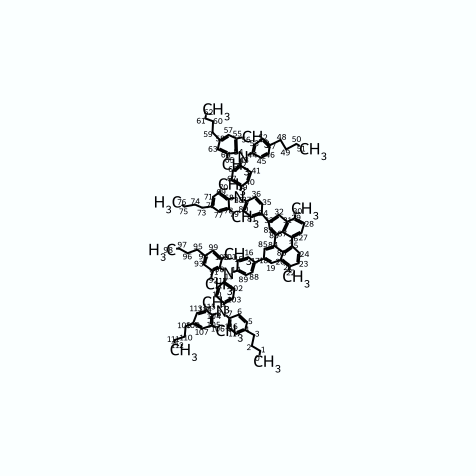 CCCCc1ccc(N(c2ccc(N(c3ccc(-c4cc5c(C)ccc6c7ccc(C)c8cc(-c9ccc(N(c%10ccc(N(c%11ccc(CCCC)cc%11)c%11c(C)cc(CCCC)cc%11C)cc%10)c%10c(C)cc(CCCC)cc%10C)cc9)cc(c(c4)c56)c87)cc3)c3c(C)cc(CCCC)cc3C)cc2)c2c(C)cc(CCCC)cc2C)cc1